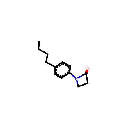 CCCCc1ccc(N2CCC2=O)cc1